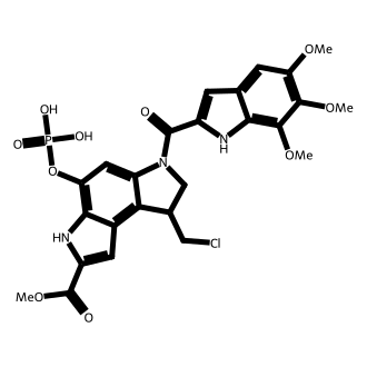 COC(=O)c1cc2c3c(cc(OP(=O)(O)O)c2[nH]1)N(C(=O)c1cc2cc(OC)c(OC)c(OC)c2[nH]1)CC3CCl